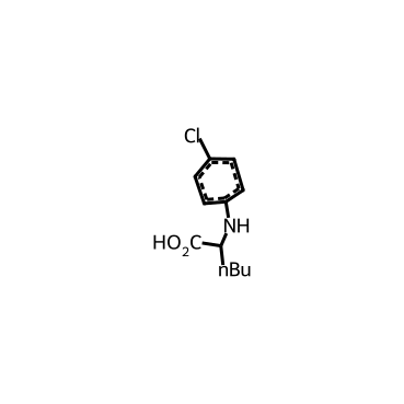 CCCCC(Nc1ccc(Cl)cc1)C(=O)O